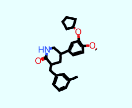 COc1ccc(C2CNC(=O)C(Cc3cccc(C)c3)C2)cc1OC1CCCC1